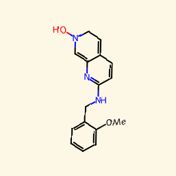 COc1ccccc1CNc1ccc2c(n1)=CN(O)CC=2